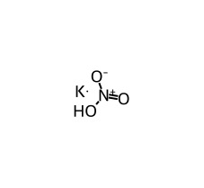 O=[N+]([O-])O.[K]